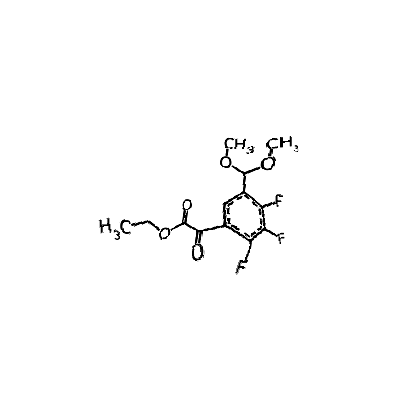 CCOC(=O)C(=O)c1cc(C(OC)OC)c(F)c(F)c1F